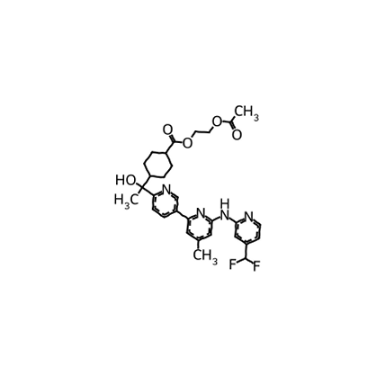 CC(=O)OCCOC(=O)C1CCC(C(C)(O)c2ccc(-c3cc(C)cc(Nc4cc(C(F)F)ccn4)n3)cn2)CC1